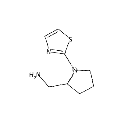 NCC1CCCN1c1nccs1